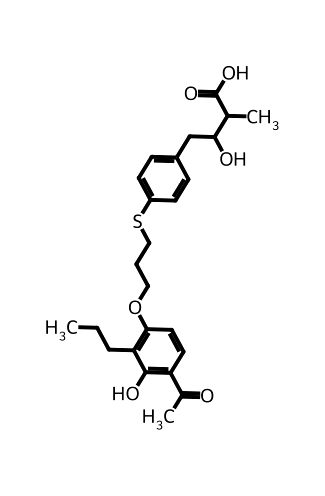 CCCc1c(OCCCSc2ccc(CC(O)C(C)C(=O)O)cc2)ccc(C(C)=O)c1O